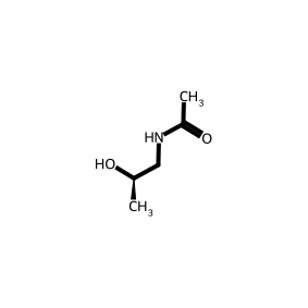 CC(=O)NC[C@@H](C)O